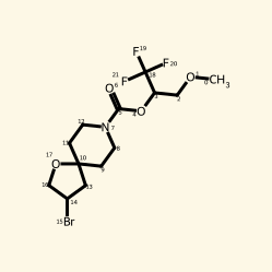 COCC(OC(=O)N1CCC2(CC1)CC(Br)CO2)C(F)(F)F